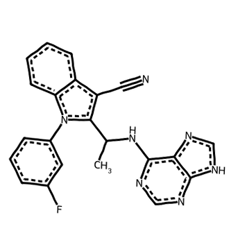 CC(Nc1ncnc2[nH]cnc12)c1c(C#N)c2ccccc2n1-c1cccc(F)c1